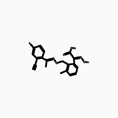 C#Cc1cc(F)ccc1/C(C)=N/OCc1c(C)cccc1/C(=N\OC)C(=O)NC